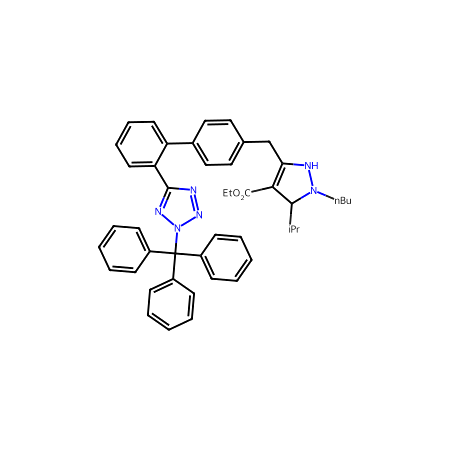 CCCCN1NC(Cc2ccc(-c3ccccc3-c3nnn(C(c4ccccc4)(c4ccccc4)c4ccccc4)n3)cc2)=C(C(=O)OCC)C1C(C)C